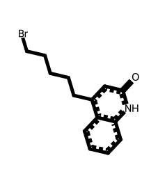 O=c1cc(CCCCCBr)c2ccccc2[nH]1